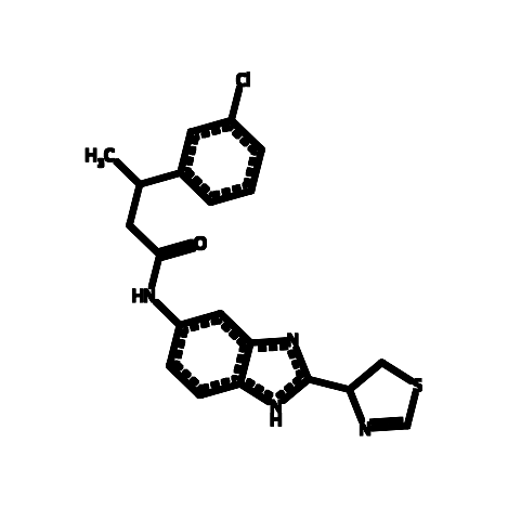 CC(CC(=O)Nc1ccc2[nH]c(C3CSC=N3)nc2c1)c1cccc(Cl)c1